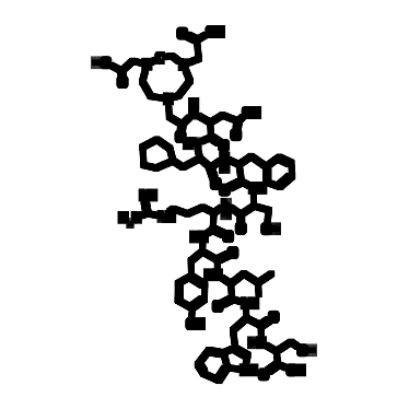 CC(C)CC(NC(=O)C(Cc1ccc(O)cc1)NC(=O)C(CCCNC(=N)N)NC(=O)C(CO)NC(=O)C(Cc1ccccc1)NC(=O)C(CC1CCCCC1)NC(=O)C(CC(=O)O)NC(=O)CN1CCN(CC(=O)O)CCN(CC(=O)O)CC1)C(=O)NC(Cc1c[nH]c2ccccc12)C(=O)NC(CO)C(=O)O